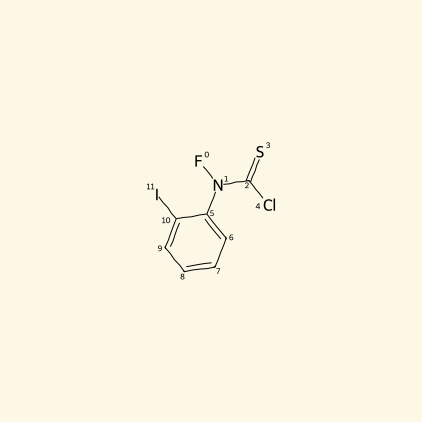 FN(C(=S)Cl)c1ccccc1I